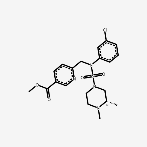 COC(=O)c1ccc(CN(c2cccc(Cl)c2)S(=O)(=O)N2CCN(C)[C@@H](C)C2)nc1